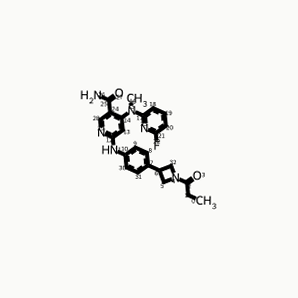 CCC(=O)N1CC(c2ccc(Nc3cc(N(C)c4cccc(F)n4)c(C(N)=O)cn3)cc2)C1